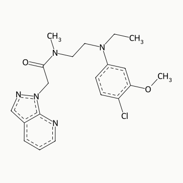 CCN(CCN(C)C(=O)Cn1ncc2cccnc21)c1ccc(Cl)c(OC)c1